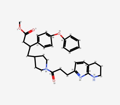 COC(=O)CC(CC1CCN(C(=O)CCc2ccc3c(n2)NCCC3)CC1)c1ccc(Oc2ccccc2)cc1